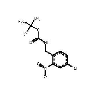 CC(C)(C)OC(=O)NCc1ccc(Cl)cc1[N+](=O)[O-]